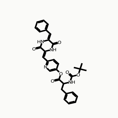 CC(C)(C)OC(=O)NC(Cc1ccccc1)C(=O)Oc1ccc(C=c2[nH]c(=O)c(=Cc3ccccc3)[nH]c2=O)nc1